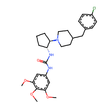 COc1cc(NC(=O)N[C@@H]2CCC[C@H]2N2CCC(Cc3ccc(Cl)cc3)CC2)cc(OC)c1OC